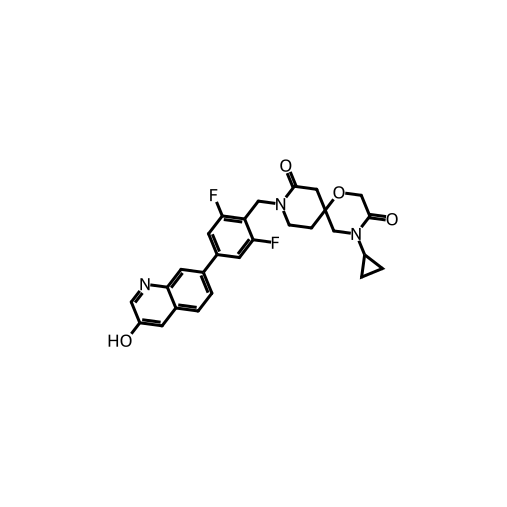 O=C1CC2(CCN1Cc1c(F)cc(-c3ccc4cc(O)cnc4c3)cc1F)CN(C1CC1)C(=O)CO2